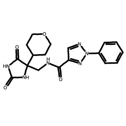 O=C1NC(=O)C(CNC(=O)c2cnn(-c3ccccc3)n2)(C2CCOCC2)N1